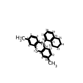 Cc1ccc2c(c1)Sc1cc(C)ccc1N2c1cccc2c1CCCC2